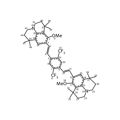 COc1c(C=Cc2cc(C(F)(F)F)c(C=Cc3cc4c5c(c3OC)C(C)(C)CCN5CCC4(C)C)cc2C(F)(F)F)cc2c3c1C(C)(C)CCN3CCC2(C)C